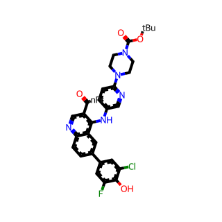 CCCC(=O)c1cnc2ccc(-c3cc(F)c(O)c(Cl)c3)cc2c1Nc1ccc(N2CCN(C(=O)OC(C)(C)C)CC2)nc1